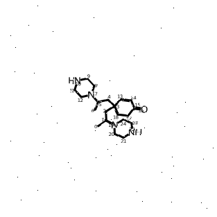 CC(CC1(CC(C)N2CCNCC2)C=CC(=O)CC1)N1CCNCC1